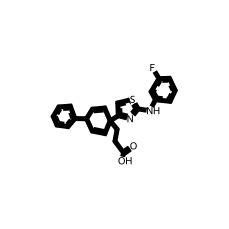 O=C(O)CCC1(c2csc(Nc3cccc(F)c3)n2)C=CC(c2ccccc2)C=C1